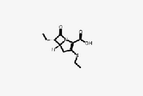 CCSC1=C(C(=O)O)N2C(=O)[C@@H](CC)[C@H]2C1